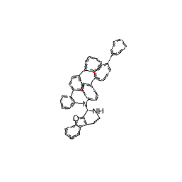 C1=Cc2c(oc3ccccc23)C(N(c2ccc(-c3ccc(-c4ccccc4)cc3)cc2)c2ccccc2-c2ccc(-c3ccccc3)cc2)N1